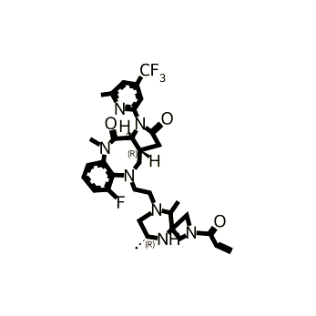 C=CC(=O)N1CC2(C1)N[C@H](C)CN(CCN1C[C@H]3CC(=O)N(c4cc(C(F)(F)F)cc(C)n4)[C@@H]3C(=O)N(C)c3cccc(F)c31)C2C